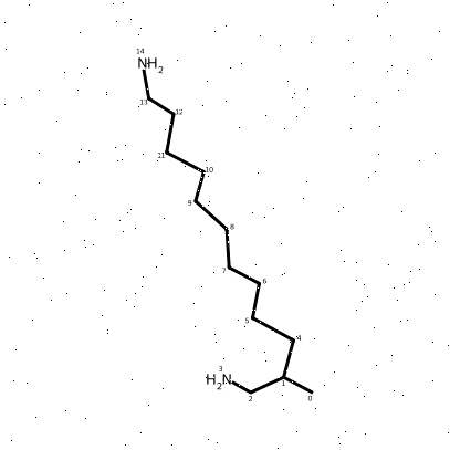 CC(CN)CCCCCCCCCCN